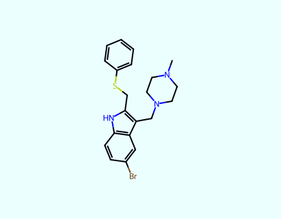 CN1CCN(Cc2c(CSc3ccccc3)[nH]c3ccc(Br)cc23)CC1